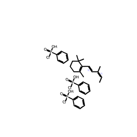 C/C=C(C)\C=C\C1=C(C)CCCC1(C)C.O=P(O)(Cl)c1ccccc1.O=P(O)(Cl)c1ccccc1.O=P(O)(Cl)c1ccccc1